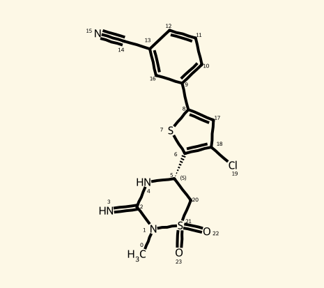 CN1C(=N)N[C@H](c2sc(-c3cccc(C#N)c3)cc2Cl)CS1(=O)=O